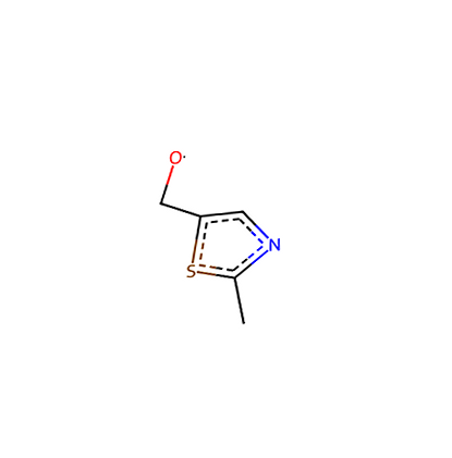 Cc1ncc(C[O])s1